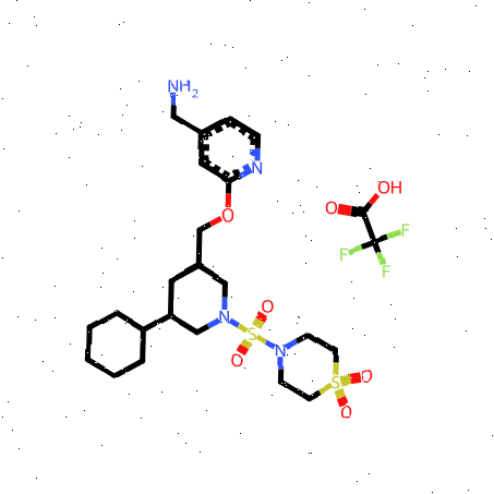 NCc1ccnc(OCC2CC(C3CCCCC3)CN(S(=O)(=O)N3CCS(=O)(=O)CC3)C2)c1.O=C(O)C(F)(F)F